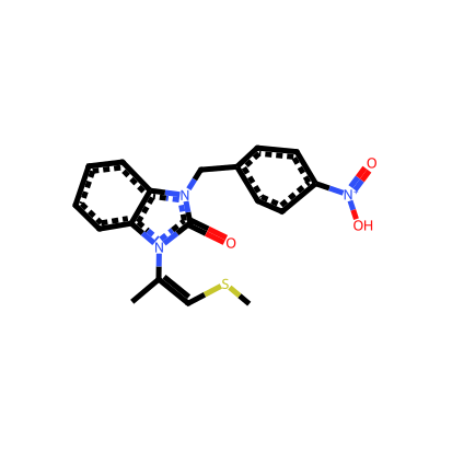 CS/C=C(/C)n1c(=O)n(Cc2ccc([N+](=O)O)cc2)c2ccccc21